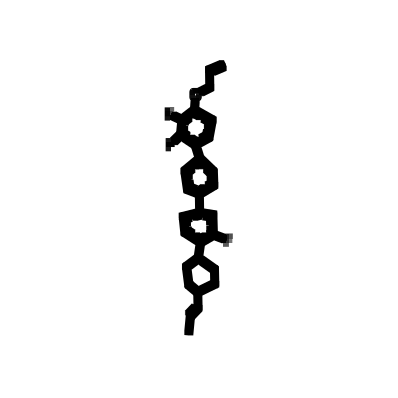 C=CCOc1ccc(-c2ccc(-c3ccc(C4CCC(/C=C/C)CC4)c(F)c3)cc2)c(F)c1F